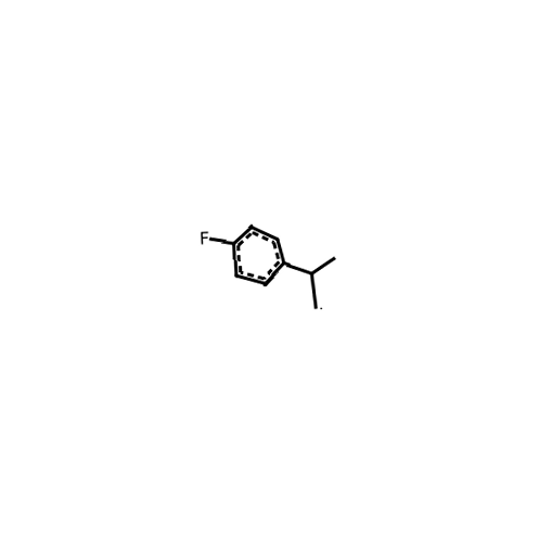 [CH2]C(C)c1ccc(F)cc1